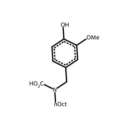 CCCCCCCCN(Cc1ccc(O)c(OC)c1)C(=O)O